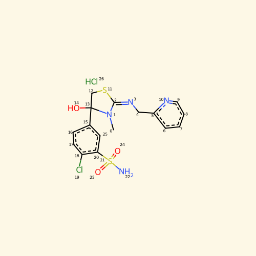 CN1C(=NCc2ccccn2)SCC1(O)c1ccc(Cl)c(S(N)(=O)=O)c1.Cl